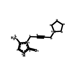 Cc1c[nH]c(=O)n1CC#CCN1CCCC1